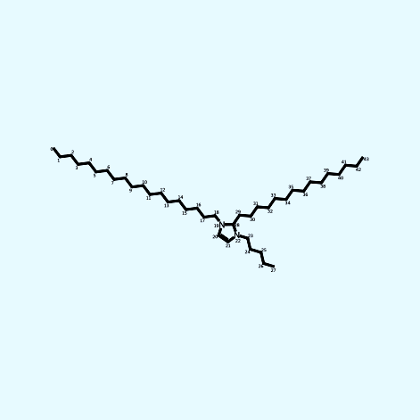 CCCCCCCCCCCCCCCCCCCN1C=CN(CCCCC)C1CCCCCCCCCCCCCCC